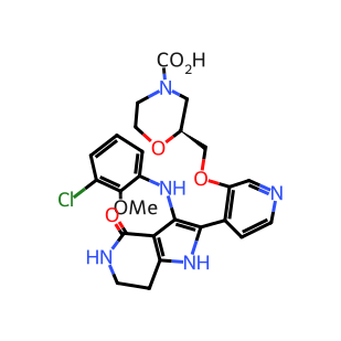 COc1c(Cl)cccc1Nc1c(-c2ccncc2OC[C@@H]2CN(C(=O)O)CCO2)[nH]c2c1C(=O)NCC2